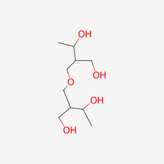 CC(O)C(CO)COCC(CO)C(C)O